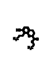 CCCc1c(O)ccc2c1OC(C(=O)OCC)CC2